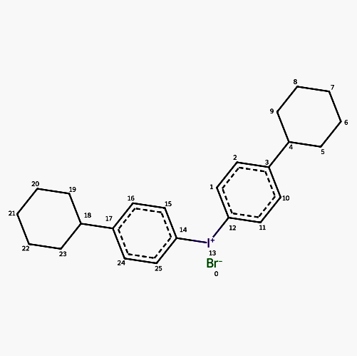 [Br-].c1cc(C2CCCCC2)ccc1[I+]c1ccc(C2CCCCC2)cc1